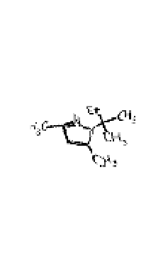 CCC(C)(C)n1nc(C)cc1C